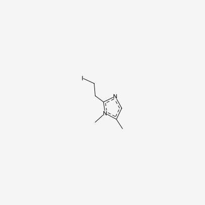 Cc1cnc(CCI)n1C